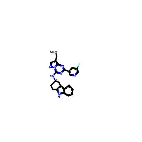 CNCc1cnn2c(N[C@@H]3CCc4[nH]c5ccccc5c4C3)nc(-c3cncc(F)c3)nc12